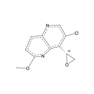 COc1ccc2ncc(Cl)c([C@@H]3CO3)c2n1